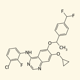 CC(Oc1cc2c(Nc3cccc(Cl)c3F)ncnc2cc1OC1CC1)c1ccc(C(F)F)cc1